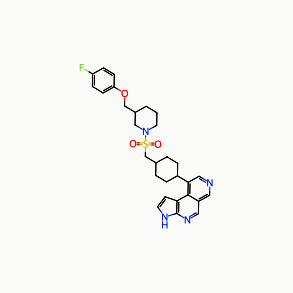 O=S(=O)(CC1CCC(c2cncc3cnc4[nH]ccc4c23)CC1)N1CCCC(COc2ccc(F)cc2)C1